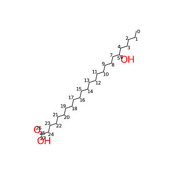 CCCCCC(O)CCCCCCCCCCCCCCCCCCC(=O)O